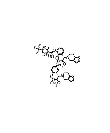 COC(=O)[C@H](c1ccccc1Cl)N1CCc2sccc2C1.COC(=O)[C@H](c1ccccc1Cl)N1CCc2sccc2C1.O=C(O)C(=O)O.O=C(O)C(F)(F)F